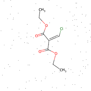 CCOC(=O)C(=CCl)C(=O)OCC